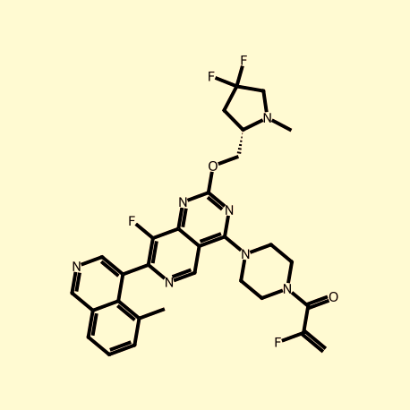 C=C(F)C(=O)N1CCN(c2nc(OC[C@@H]3CC(F)(F)CN3C)nc3c(F)c(-c4cncc5cccc(C)c45)ncc23)CC1